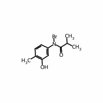 Cc1ccc(N(Br)C(=O)C(C)C)cc1O